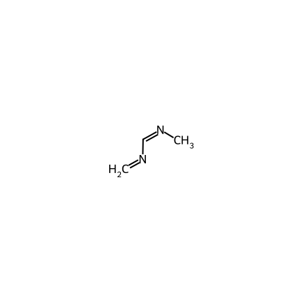 C=N/C=N\C